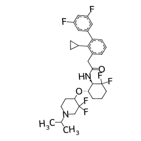 CC(C)N1CCC(O[C@H]2CCCC(F)(F)[C@@H]2NC(=O)Cc2cccc(-c3cc(F)cc(F)c3)c2C2CC2)C(F)(F)C1